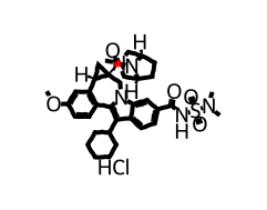 COc1ccc2c(c1)[C@@H]1C[C@]1(C(=O)N1[C@@H]3CC[C@H]1CN(C)C3)Cn1c-2c(C2CCCCC2)c2ccc(C(=O)NS(=O)(=O)N(C)C)cc21.Cl